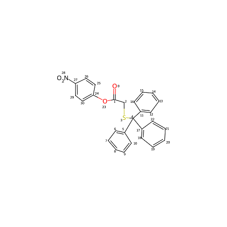 O=C(CSC(c1ccccc1)(c1ccccc1)c1ccccc1)Oc1ccc([N+](=O)[O-])cc1